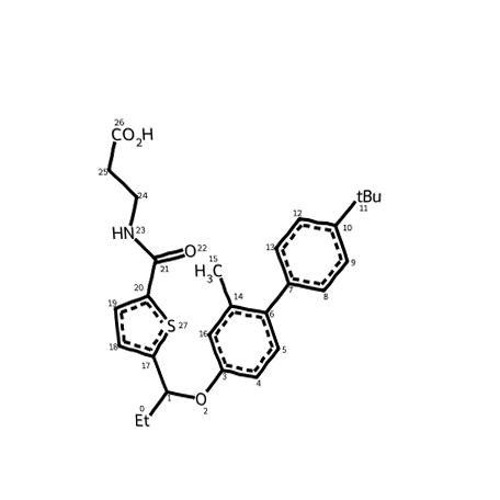 CCC(Oc1ccc(-c2ccc(C(C)(C)C)cc2)c(C)c1)c1ccc(C(=O)NCCC(=O)O)s1